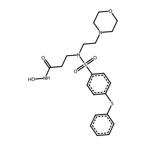 O=C(CCN(CCN1CCOCC1)S(=O)(=O)c1ccc(Sc2ccccc2)cc1)NO